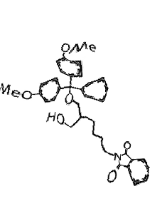 COc1ccc(C(OCC(CO)CCCCN2C(=O)c3ccccc3C2=O)(c2ccccc2)c2ccc(OC)cc2)cc1